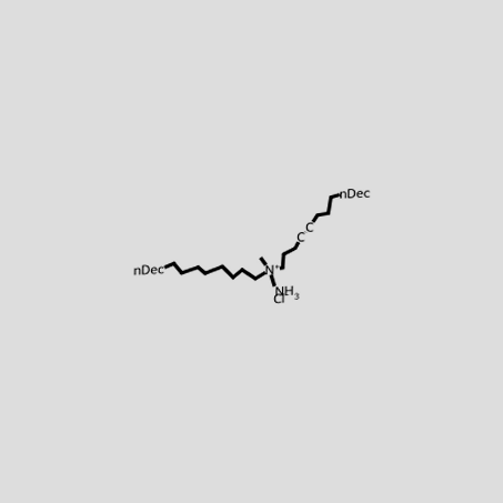 CCCCCCCCCCCCCCCCCC[N+](C)(C)CCCCCCCCCCCCCCCCCC.N.[Cl-]